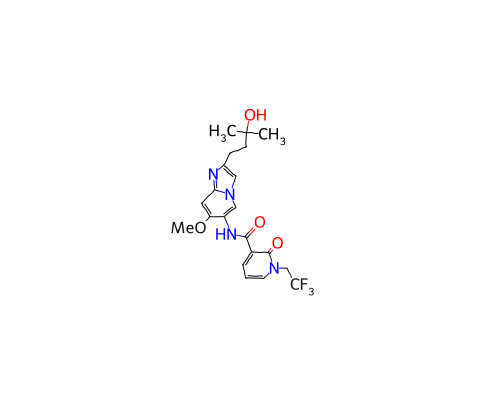 COc1cc2nc(CCC(C)(C)O)cn2cc1NC(=O)c1cccn(CC(F)(F)F)c1=O